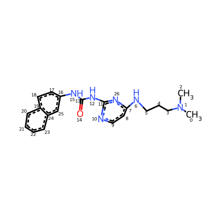 CN(C)CCCNc1ccnc(NC(=O)Nc2ccc3ccccc3c2)n1